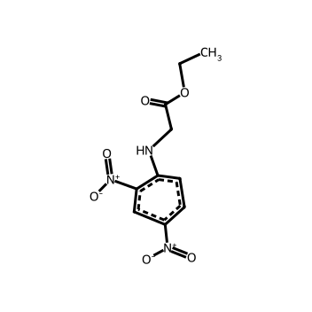 CCOC(=O)CNc1ccc([N+](=O)[O-])cc1[N+](=O)[O-]